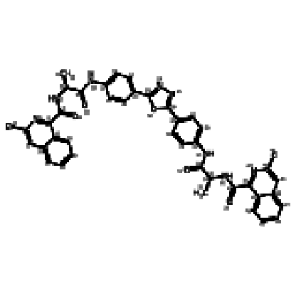 C[C@H](NC(=O)c1nc(Cl)cc2ccccc12)C(=O)Nc1ccc(-c2nnc(-c3ccc(NC(=O)[C@H](C)NC(=O)c4nc(Cl)cc5ccccc45)cc3)o2)cc1